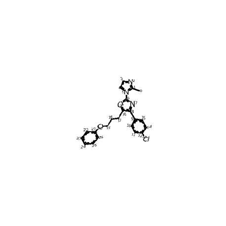 Cc1nccn1-c1nc(-c2ccc(Cl)cc2)c(CCCOc2ccccc2)o1